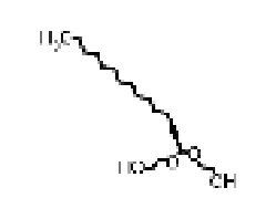 CCCCCCCCCCCCC#CC(OCCO)OCCO